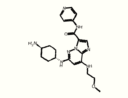 COCCNc1cc(N[C@H]2CC[C@H](N)CC2)nn2c(C(=O)Nc3ccncc3)cnc12